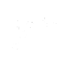 Nc1nc2cc(-c3cc[nH]n3)ccc2c2cn(CCNC(=O)CO)nc12